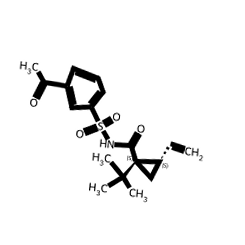 C=C[C@@H]1C[C@@]1(C(=O)NS(=O)(=O)c1cccc(C(C)=O)c1)C(C)(C)C